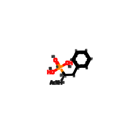 CC(=O)N[C@@H](Cc1ccccc1)P(=O)(O)O